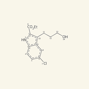 CCOC(=O)c1[nH]c2ccc(Cl)cc2c1CCCO